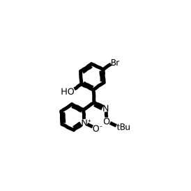 CC(C)(C)ON=C(c1cc(Br)ccc1O)c1cccc[n+]1[O-]